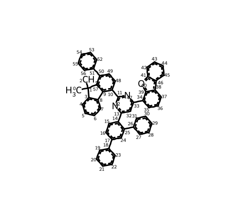 CC1(C)c2ccccc2-c2c(-c3nc(-c4ccc(-c5ccccc5)cc4-c4ccccc4)cc(-c4cccc5c4oc4ccccc45)n3)ccc(-c3ccccc3)c21